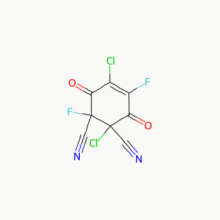 N#CC1(F)C(=O)C(Cl)=C(F)C(=O)C1(Cl)C#N